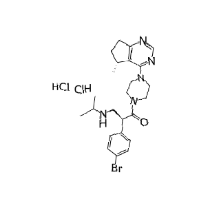 CC(C)NC[C@@H](C(=O)N1CCN(c2ncnc3c2[C@H](C)CC3)CC1)c1ccc(Br)cc1.Cl.Cl